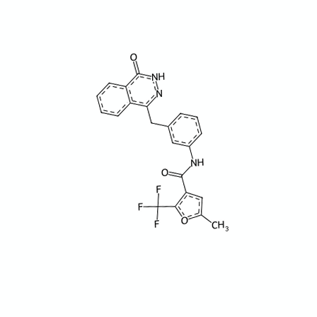 Cc1cc(C(=O)Nc2cccc(Cc3n[nH]c(=O)c4ccccc34)c2)c(C(F)(F)F)o1